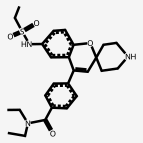 CCN(CC)C(=O)c1ccc(C2=CC3(CCNCC3)Oc3ccc(NS(=O)(=O)CC)cc32)cc1